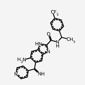 CC(NC(=O)c1nc2cc(C(=N)c3ccncc3)c(N)cc2[nH]1)c1ccc(C(F)(F)F)cc1